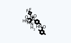 Cc1ccc(C)c(C(=O)NCc2ccc(-n3c(=O)n(C4CC(F)(F)C4)c4c(=O)[nH]nc(N)c43)cc2)c1